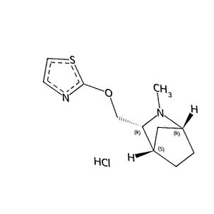 CN1[C@@H]2CC[C@@H](C2)[C@@H]1COc1nccs1.Cl